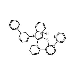 C1=CC(c2ccccc2)CC(N2C3=C(Sc4c(cccc4-c4ccccn4)C4=C3CCC=C4)[C@H]3C=CC=CC32)=C1